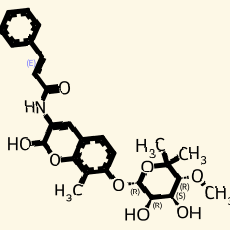 CO[C@@H]1[C@@H](O)[C@@H](O)[C@H](Oc2ccc3c(c2C)OC(O)C(NC(=O)/C=C/c2ccccc2)=C3)OC1(C)C